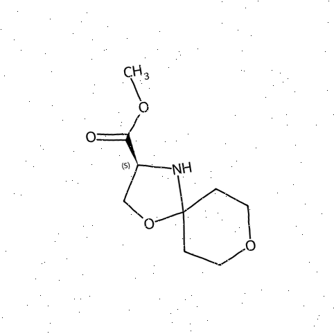 COC(=O)[C@@H]1COC2(CCOCC2)N1